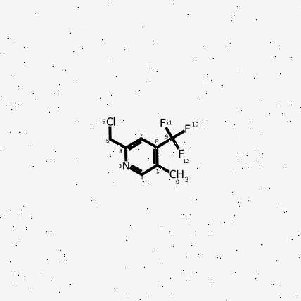 Cc1cnc(CCl)cc1C(F)(F)F